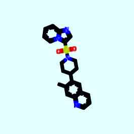 Cc1cc2ncccc2cc1C1CCN(S(=O)(=O)c2cnc3ccccn23)CC1